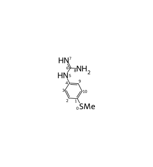 CSc1ccc(NC(=N)N)cc1